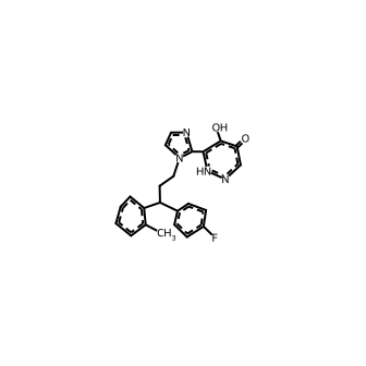 Cc1ccccc1C(CCn1ccnc1-c1[nH]ncc(=O)c1O)c1ccc(F)cc1